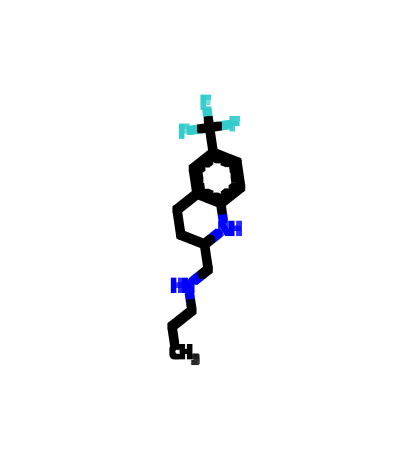 CCCNCC1CCc2cc(C(F)(F)F)ccc2N1